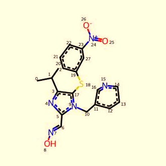 CC(C)c1nc(C=NO)n(Cc2cccnc2)c1Sc1cccc([N+](=O)[O-])c1